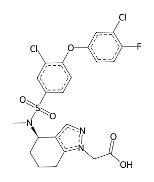 CN([C@@H]1CCCc2c1cnn2CC(=O)O)S(=O)(=O)c1ccc(Oc2ccc(F)c(Cl)c2)c(Cl)c1